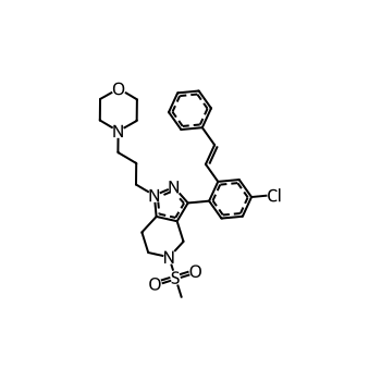 CS(=O)(=O)N1CCc2c(c(-c3ccc(Cl)cc3C=Cc3ccccc3)nn2CCCN2CCOCC2)C1